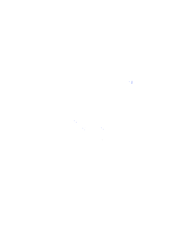 CCc1nn2c(-c3ccc(F)cc3)cc(=O)[nH]c2c1-c1ccc(CN)cc1